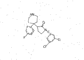 O=C1C(C2(c3ccc(F)cc3)CCNCC2)CCN1Cc1cc(Cl)cc(Cl)c1